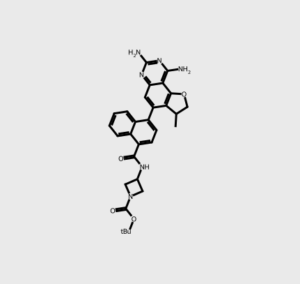 CC1COc2c1c(-c1ccc(C(=O)NC3CN(C(=O)OC(C)(C)C)C3)c3ccccc13)cc1nc(N)nc(N)c21